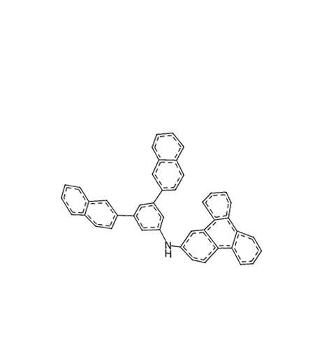 c1ccc2cc(-c3cc(Nc4ccc5c6ccccc6c6ccccc6c5c4)cc(-c4ccc5ccccc5c4)c3)ccc2c1